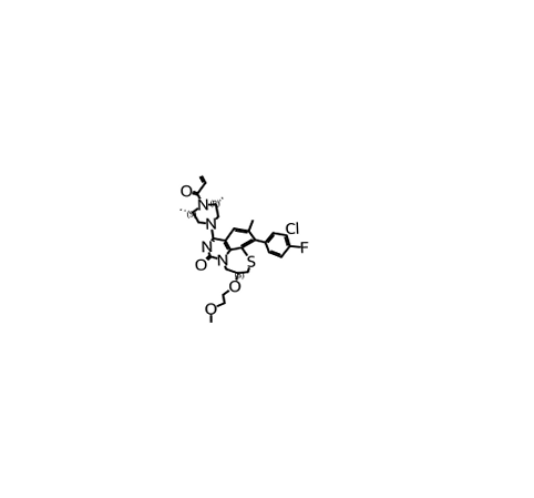 C=CC(=O)N1[C@H](C)CN(c2nc(=O)n3c4c(c(-c5ccc(F)c(Cl)c5)c(C)cc24)SC[C@@H](OCCOC)C3)C[C@@H]1C